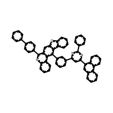 c1ccc(-c2ccc(-c3nc4ccccc4c4c(-c5cccc(-c6cc(-c7cc8ccccc8c8ccccc78)nc(-c7ccccc7)n6)c5)c5c(cc34)oc3ccccc35)cc2)cc1